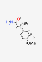 COc1ccc([C@H](CC(N)=O)C(C)C)cc1C